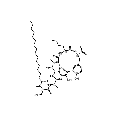 CCCCCCCCCCCCCCCC(=O)N(C)[C@H](CO)C(=O)N[C@H](C)C(=O)NCC(=O)N(C)[C@@H]1C(=O)N[C@@H](CCCC)C(=O)N[C@H](C(=O)O)Cc2ccc(O)c(c2)-c2cc1ccc2O